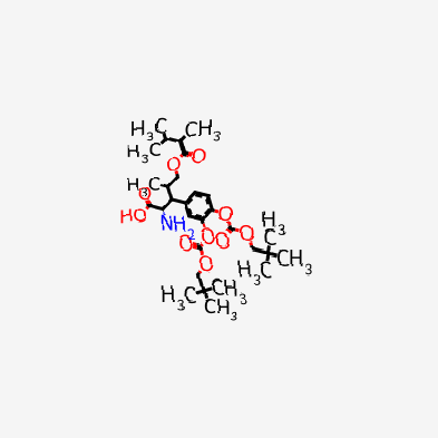 CC(C)C(C)C(=O)OCC(C)C(c1ccc(OC(=O)OCC(C)(C)C)c(OC(=O)OCC(C)(C)C)c1)[C@H](N)C(=O)O